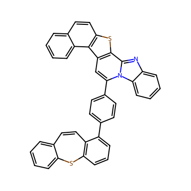 C1=Cc2c(cccc2-c2ccc(-c3cc4c(sc5ccc6ccccc6c54)c4nc5ccccc5n34)cc2)Sc2ccccc21